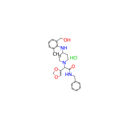 Cc1cccc(CO)c1NC1CCN(C(C(=O)NCc2ccccc2)C2=COCO2)CC1.Cl